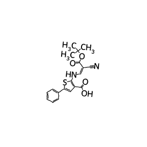 CC(C)(C)OC(=O)C(C#N)=CNc1sc(-c2ccccc2)cc1C(=O)O